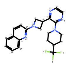 FC(F)(F)C1CCN(c2nccnc2C2CN(c3ccc4ccccc4n3)C2)CC1